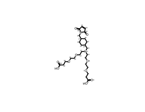 O=C(O)CCOCCOCCN(CCOCCOCCC(=O)O)CC1CCC(CN2C(=O)C=CC2=O)CC1